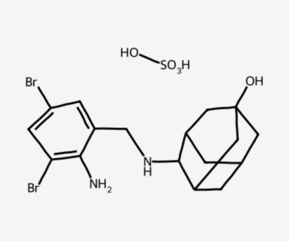 Nc1c(Br)cc(Br)cc1CNC1C2CC3CC1CC(O)(C3)C2.O=S(=O)(O)O